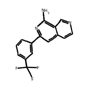 Nc1nc(-c2cccc(C(F)(F)F)c2)cc2ccncc12